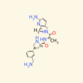 Cc1nc(N)ccc1CNC(=O)[C@H](C)NC(=O)[C@H]1C[C@H](c2cccc(CN)c2)CN1